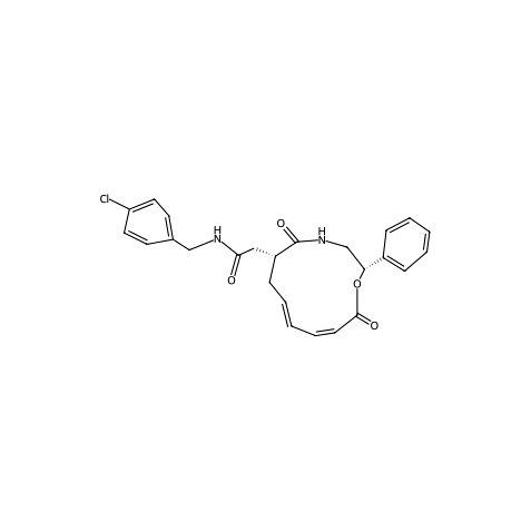 O=C(C[C@H]1C/C=C/C=C\C(=O)O[C@@H](c2ccccc2)CNC1=O)NCc1ccc(Cl)cc1